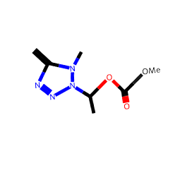 C=C1N=NN(C(C)OC(=O)OC)N1C